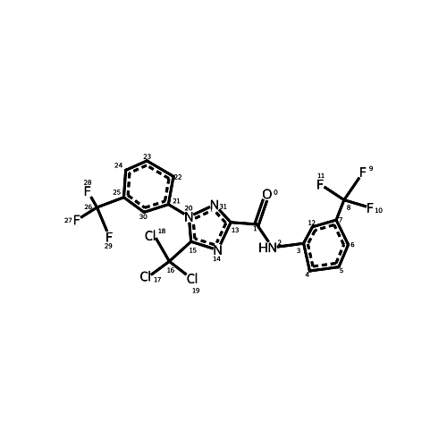 O=C(Nc1cccc(C(F)(F)F)c1)c1nc(C(Cl)(Cl)Cl)n(-c2cccc(C(F)(F)F)c2)n1